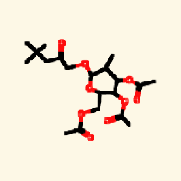 CC(=O)OCC1OC(OCC(=O)CC(C)(C)C)C(C)C(OC(C)=O)C1OC(C)=O